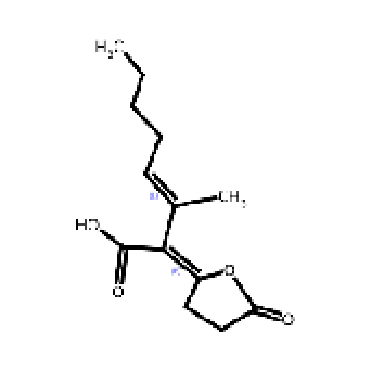 CCCC/C=C(C)/C(C(=O)O)=C1/CCC(=O)O1